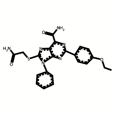 CCOc1ccc(-c2nc(C(N)=O)c3nc(SCC(N)=O)n(-c4ccccc4)c3n2)cc1